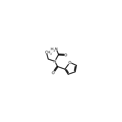 [CH2]CN(C(N)=O)C(=O)c1ccco1